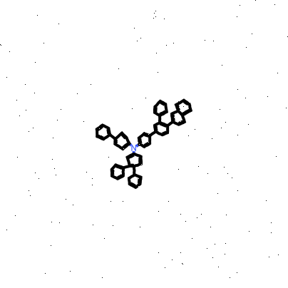 C1=CCC(c2ccc(N(c3ccc(-c4ccccc4)cc3)c3ccc(-c4ccc(-c5ccc6ccccc6c5)c(-c5ccccc5)c4)cc3)cc2-c2ccccc2)C=C1